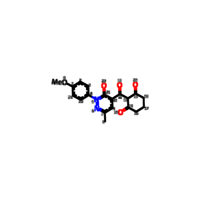 COc1ccc(-n2nc(C)cc(C(=O)C3C(=O)CCCC3=O)c2=O)cc1